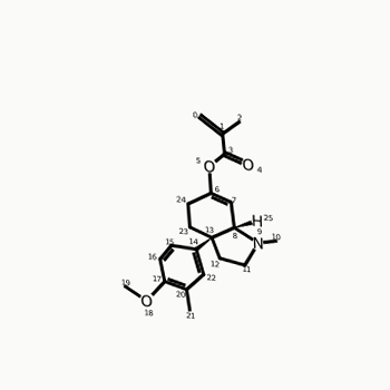 C=C(C)C(=O)OC1=C[C@@H]2N(C)CC[C@]2(c2ccc(OC)c(C)c2)CC1